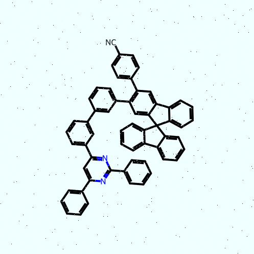 N#Cc1ccc(-c2cc3c(cc2-c2cccc(-c4cccc(-c5cc(-c6ccccc6)nc(-c6ccccc6)n5)c4)c2)C2(c4ccccc4-c4ccccc42)c2ccccc2-3)cc1